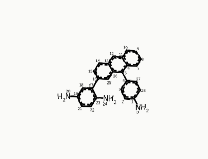 Nc1ccc(-c2c3ccccc3cc3ccc(-c4cc(N)ccc4N)cc23)cc1